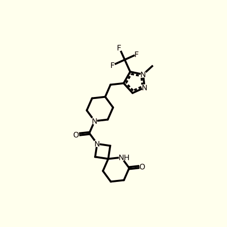 Cn1ncc(CC2CCN(C(=O)N3CC4(CCCC(=O)N4)C3)CC2)c1C(F)(F)F